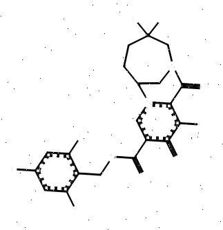 O=C(NCc1c(F)cc(F)cc1F)c1cn2c(c(O)c1=O)C(=O)N1C[C@@H]2CCC(F)(F)C1